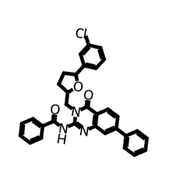 O=C(Nc1nc2cc(-c3ccccc3)ccc2c(=O)n1CC1CCC(c2cccc(Cl)c2)O1)c1ccccc1